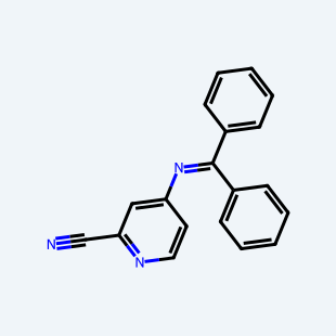 N#Cc1cc(N=C(c2ccccc2)c2ccccc2)ccn1